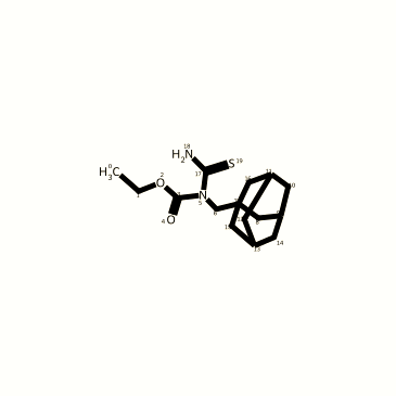 CCOC(=O)N(CC12CC3CC(CC(C3)C1)C2)C(N)=S